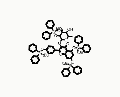 CC1OC(Oc2c(-c3ccc(O[Si](c4ccccc4)(c4ccccc4)C(C)(C)C)cc3)oc3cc(O[Si](c4ccccc4)(c4ccccc4)C(C)(C)C)cc(O[Si](c4ccccc4)(c4ccccc4)C(C)(C)C)c3c2=O)C(O[Si](c2ccccc2)(c2ccccc2)C(C)(C)C)C(O)C1O